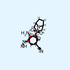 N#Cc1cccc(S(=O)(=O)N2C3CCC2CN(C(=O)/C(N)=C/N=N)C3)c1